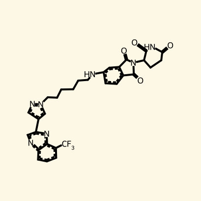 O=C1CCC(N2C(=O)c3ccc(NCCCCCCn4cc(-c5cnc6cccc(C(F)(F)F)c6n5)cn4)cc3C2=O)C(=O)N1